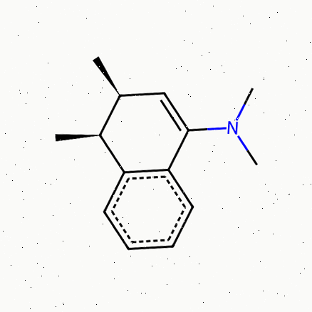 C[C@@H]1c2ccccc2C(N(C)C)=C[C@@H]1C